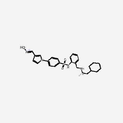 C[C@@H](CC1CCCCC1)NCc1ccccc1NS(=O)(=O)c1ccc(-n2ccc(/C=N/O)c2)cc1